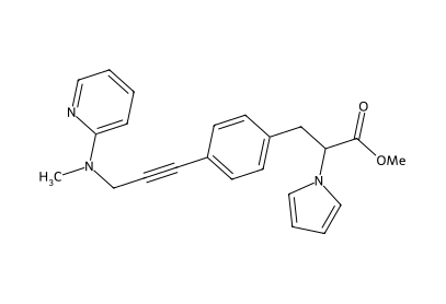 COC(=O)C(Cc1ccc(C#CCN(C)c2ccccn2)cc1)n1cccc1